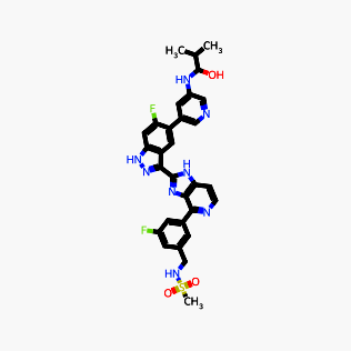 CC(C)C(O)Nc1cncc(-c2cc3c(-c4nc5c(-c6cc(F)cc(CNS(C)(=O)=O)c6)nccc5[nH]4)n[nH]c3cc2F)c1